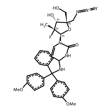 COc1ccc(C(NC2C=CN([C@@H]3O[C@@](CO)(CN=[N+]=[N-])[C@@H](O)[C@@]3(C)F)C(=O)N2)(c2ccccc2)c2ccc(OC)cc2)cc1